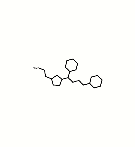 CCCCCCCCCCCCC1CCC(C(CCC[C]2CCCCC2)C2CCCCC2)C1